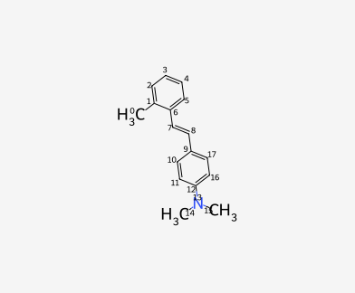 Cc1ccccc1C=Cc1ccc(N(C)C)cc1